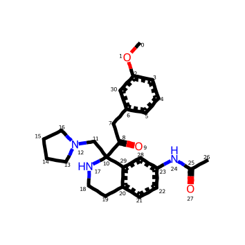 COc1cccc(CC(=O)C2(CN3CCCC3)NCCc3ccc(NC(C)=O)cc32)c1